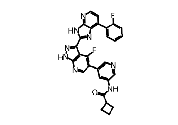 O=C(Nc1cncc(-c2cnc3[nH]nc(-c4nc5c(-c6ccccc6F)ccnc5[nH]4)c3c2F)c1)C1CCC1